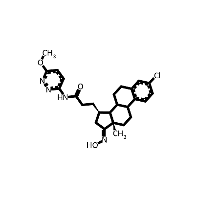 COc1ccc(NC(=O)CC[C@@H]2C/C(=N\O)[C@@]3(C)CCC4c5ccc(Cl)cc5CCC4C23)nn1